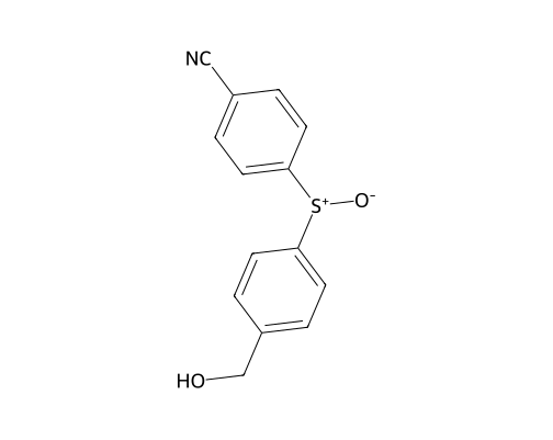 N#Cc1ccc([S+]([O-])c2ccc(CO)cc2)cc1